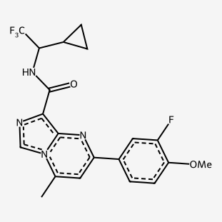 COc1ccc(-c2cc(C)n3cnc(C(=O)NC(C4CC4)C(F)(F)F)c3n2)cc1F